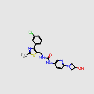 O=C(NCc1sc(C(F)(F)F)nc1-c1cccc(Cl)c1)Nc1ccc(N2CC(O)C2)nc1